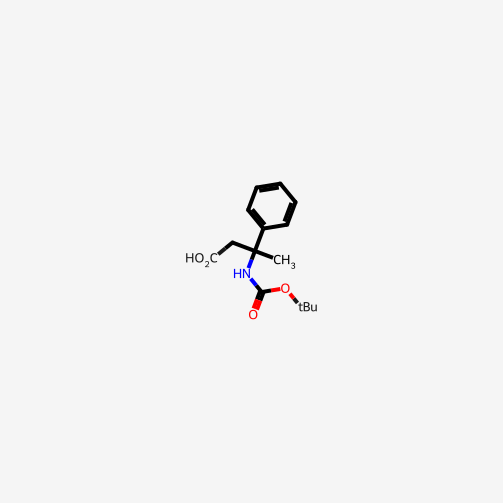 CC(C)(C)OC(=O)NC(C)(CC(=O)O)c1ccccc1